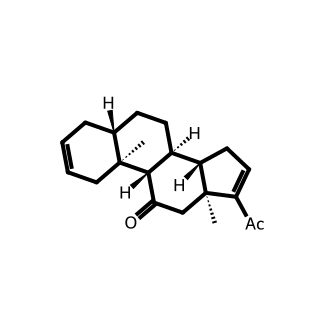 CC(=O)C1=CC[C@H]2[C@@H]3CC[C@H]4CC=CC[C@]4(C)[C@H]3C(=O)C[C@]12C